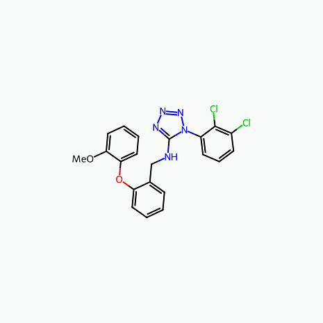 COc1ccccc1Oc1ccccc1CNc1nnnn1-c1cccc(Cl)c1Cl